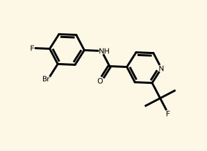 CC(C)(F)c1cc(C(=O)Nc2ccc(F)c(Br)c2)ccn1